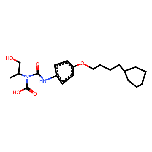 CC(CO)N(C(=O)O)C(=O)Nc1ccc(OCCCCC2CCCCC2)cc1